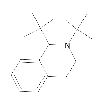 CC(C)(C)C1c2ccccc2CCN1C(C)(C)C